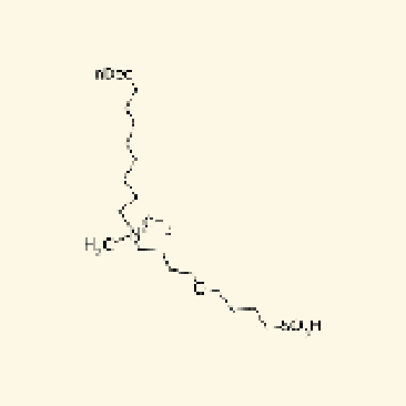 CCCCCCCCCCCCCCCCCC[N+](C)(C)CCCCOCCCCS(=O)(=O)O